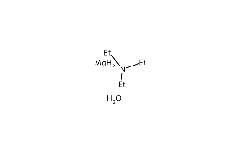 CCN(CC)CC.O.[MgH2]